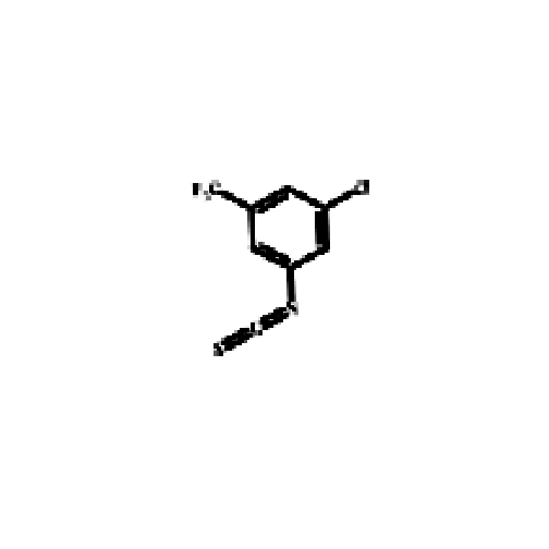 FC(F)(F)c1cc(Cl)cc(N=C=S)c1